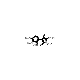 CCOC(=O)c1c(Cl)c(-c2ccc(OC)c(OC)c2OC)c(Cl)n1C=O